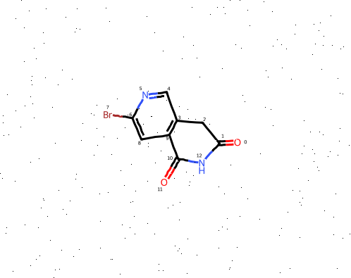 O=C1Cc2cnc(Br)cc2C(=O)N1